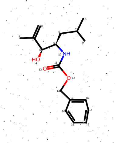 C=C(C)[C@H](O)[C@@H](CC(C)C)NC(=O)OCc1ccccc1